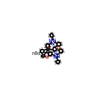 CCCCc1ccc2c(c1)C1(c3ccccc3Oc3cc(-c4nc(-c5ccccc5)nc(-c5ccccc5)n4)ccc31)c1cc(-c3ccc4oc5cccc(-c6nc(-c7ccccc7)nc(-c7ccccc7)n6)c5c4c3)ccc1-2